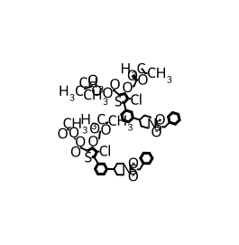 CC(=O)OCOC(=O)c1sc(-c2cccc(C3CCN(S(=O)(=O)Cc4ccccc4)CC3)c2)c(Cl)c1OCC(=O)OC(C)C.CC(C)OC(=O)COc1c(C(=O)OCOC(=O)C(C)(C)C)sc(-c2cccc(C3CCN(S(=O)(=O)Cc4ccccc4)CC3)c2)c1Cl